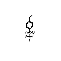 CCc1ccc(S(=O)(=O)C(F)(F)F)cc1